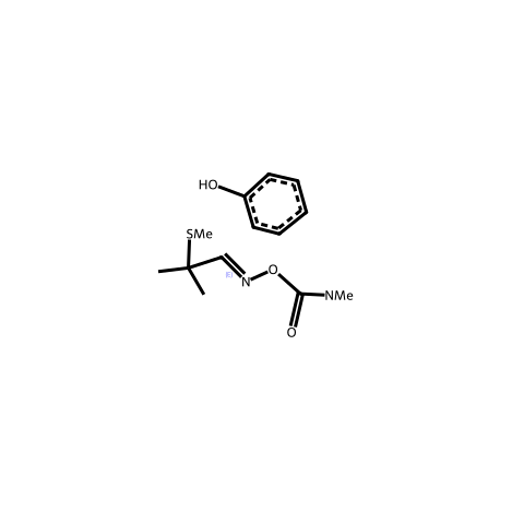 CNC(=O)O/N=C/C(C)(C)SC.Oc1ccccc1